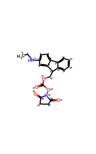 CCNc1ccc2c(c1)C(COC(=O)ON1C(=O)CCC1=O)c1ccccc1-2